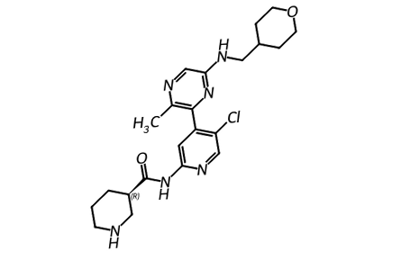 Cc1ncc(NCC2CCOCC2)nc1-c1cc(NC(=O)[C@@H]2CCCNC2)ncc1Cl